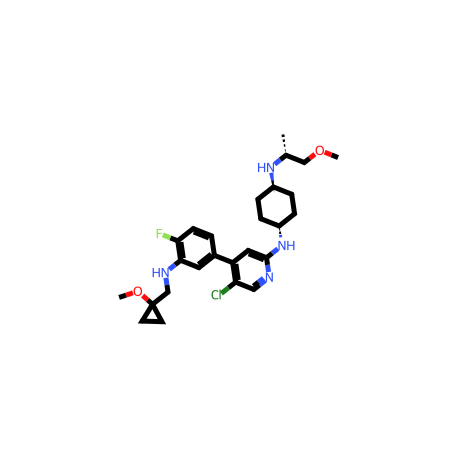 COC[C@@H](C)N[C@H]1CC[C@H](Nc2cc(-c3ccc(F)c(NCC4(OC)CC4)c3)c(Cl)cn2)CC1